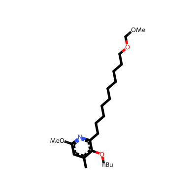 CCCCOc1c(C)cc(OC)nc1CCCCCCCCCCOCOC